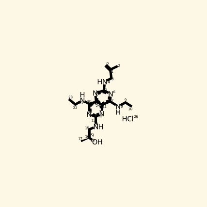 C=C(C)CNc1nc(NCC)c2nc(NC[C@H](C)O)nc(NCC)c2n1.Cl